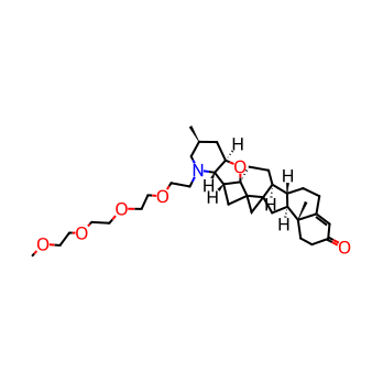 COCCOCCOCCOCCN1C[C@@H](C)C[C@H]2O[C@@]34CC[C@H]5[C@@H]6CCC7=CC(=O)CC[C@]7(C)[C@H]6CC56CC63C[C@@H]4[C@@H]21